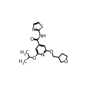 CC(C)Oc1cc(C(=O)Nc2nccs2)cc(OCC2CCOC2)n1